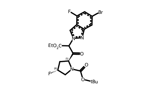 CCOC(=O)C(C(=O)[C@@H]1C[C@@H](F)CN1C(=O)OC(C)(C)C)n1cc2c(F)cc(Br)cc2n1